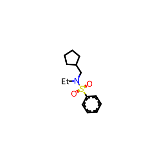 [CH2]CN(CC1CCCC1)S(=O)(=O)c1ccccc1